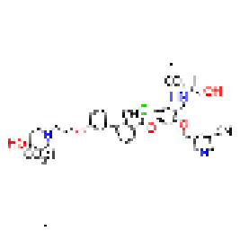 Cc1c(COc2cc(OCc3cncc(C#N)c3)c(CNC(CO)C(=O)O)cc2Cl)cccc1-c1cccc(OCCCN2CCC(O)(C(=O)O)CC2)c1